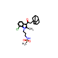 Cc1c(C(=O)CC23CC4CC(CC(C4)C2)C3)c2cccc(Cl)c2n1CCCNS(C)(=O)=O